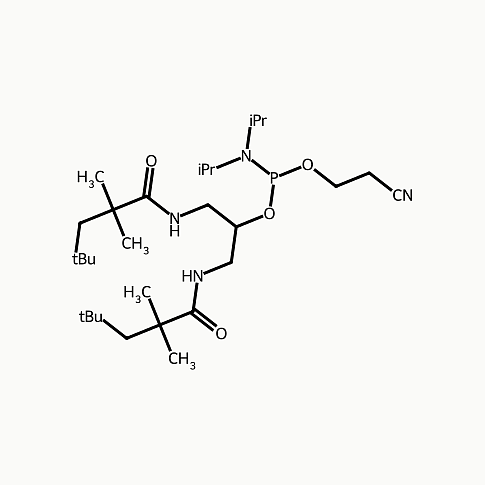 CC(C)N(C(C)C)P(OCCC#N)OC(CNC(=O)C(C)(C)CC(C)(C)C)CNC(=O)C(C)(C)CC(C)(C)C